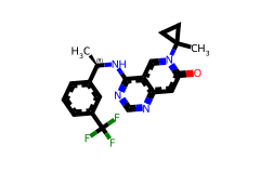 C[C@@H](Nc1ncnc2cc(=O)n(C3(C)CC3)cc12)c1cccc(C(F)(F)F)c1